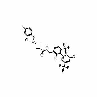 O=c1cc(C(F)(F)F)nc(-c2c(C(F)(F)F)ccc(CNC(=O)[C@H]3C[C@H](OCc4ccc(F)cc4Cl)C3)c2F)[nH]1